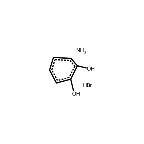 Br.N.Oc1ccccc1O